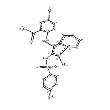 CC(=O)c1cc(Cl)ccc1Nc1c(NS(=O)(=O)c2ccc(C)cc2)n(C)c2ccccc12